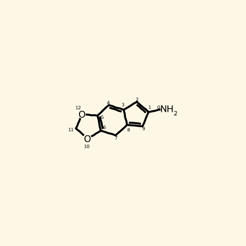 NC1=CC2=CC3=C(CC2=C1)OCO3